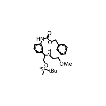 COCCNC(CO[Si](C)(C)C(C)(C)C)c1cccc(NC(=O)OCc2ccccc2)c1